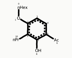 CCCCCCOc1ccc(C(C)=O)c(O)c1CCC